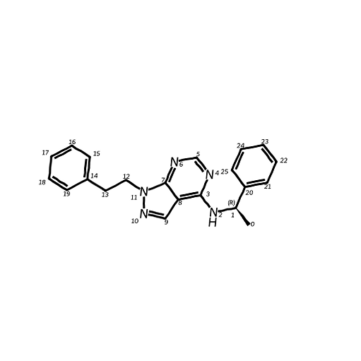 C[C@@H](Nc1ncnc2c1cnn2CCc1ccccc1)c1ccccc1